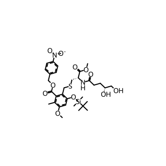 COC(=O)[C@@H](CSCc1c(O[Si](C)(C)C(C)(C)C)cc(OC)c(C)c1C(=O)OCc1ccc([N+](=O)[O-])cc1)NC(=O)CC[C@@H](O)CO